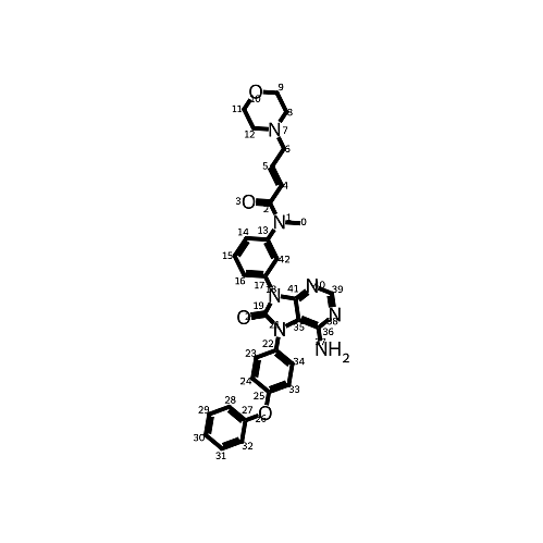 CN(C(=O)C=CCN1CCOCC1)c1cccc(-n2c(=O)n(-c3ccc(Oc4ccccc4)cc3)c3c(N)ncnc32)c1